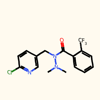 CN(C)N(Cc1ccc(Cl)nc1)C(=O)c1ccccc1C(F)(F)F